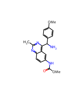 COC(=O)Nc1ccc2nc(C)nc(C(N)c3ccc(OC)cc3)c2c1